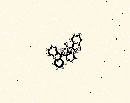 N=S(=O)(NC(c1ccccc1)(c1ccccc1)c1ccccc1)c1cnn2c1CCCC2